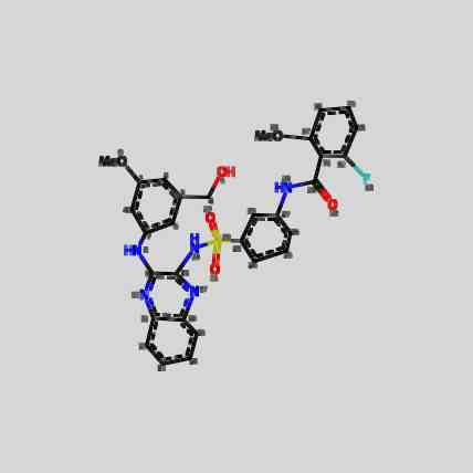 COc1cc(CO)cc(Nc2nc3ccccc3nc2NS(=O)(=O)c2cccc(NC(=O)c3c(F)cccc3OC)c2)c1